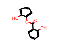 O=C(Oc1ccccc1O)c1ccccc1O